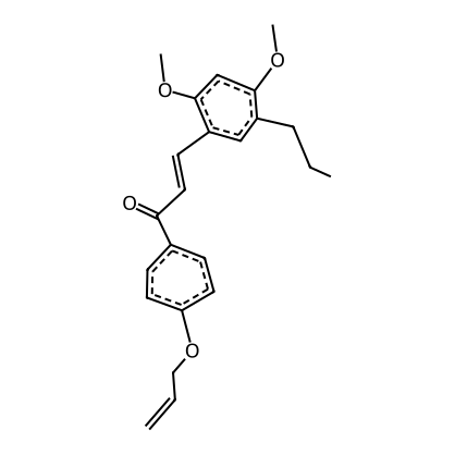 C=CCOc1ccc(C(=O)C=Cc2cc(CCC)c(OC)cc2OC)cc1